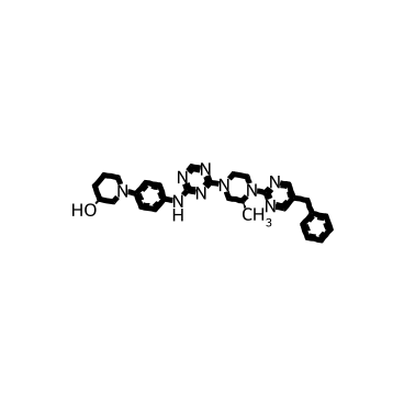 C[C@@H]1CN(c2ncnc(Nc3ccc(N4CCC[C@@H](O)C4)cc3)n2)CCN1c1ncc(Cc2ccccc2)cn1